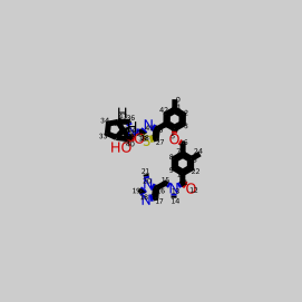 Cc1ccc(OCc2ccc(C(=O)N(C)Cc3cncn3C)cc2C)c(-c2csc(N3CC4CC[C@H](C3)[C@@H]4C(=O)O)n2)c1